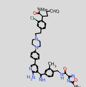 CNC(=O)C(CCC=O)c1ccc(CCN2CCN(c3ccc(-c4cnc(N)c(C(=N)c5ccc(CNC(=O)c6noc(C(C)(C)C)n6)c(C)c5)c4)cc3)CC2)cc1Cl